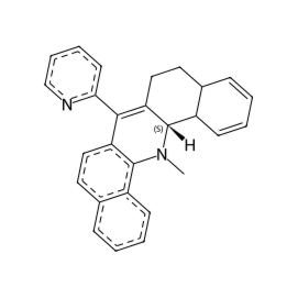 CN1c2c(ccc3ccccc23)C(c2ccccn2)=C2CCC3C=CC=CC3[C@@H]21